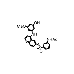 COc1cc(O)cc(Nc2ccnc3ccc(N=S(C)(=O)c4cccc(NC(C)=O)c4)cc23)c1